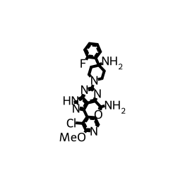 COc1nccc(-c2n[nH]c3nc(N4CCC(N)(c5ccccc5F)CC4)nc(C(N)=O)c23)c1Cl